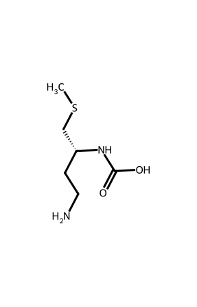 CSC[C@@H](CCN)NC(=O)O